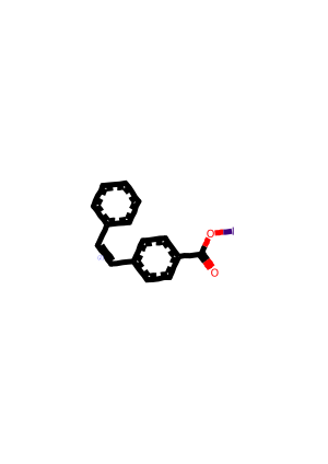 O=C(OI)c1ccc(/C=C\c2ccccc2)cc1